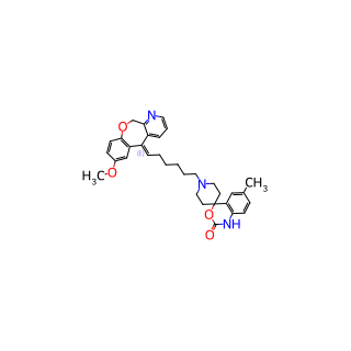 COc1ccc2c(c1)/C(=C/CCCCCN1CCC3(CC1)OC(=O)Nc1ccc(C)cc13)c1cccnc1CO2